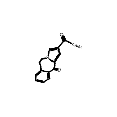 COC(=O)c1cc2n(c1)CCc1ccccc1C2=O